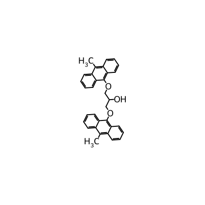 Cc1c2ccccc2c(OCC(O)COc2c3ccccc3c(C)c3ccccc23)c2ccccc12